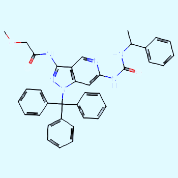 COCC(=O)Nc1nn(C(c2ccccc2)(c2ccccc2)c2ccccc2)c2cc(NC(=O)NC(C)c3ccccc3)ncc12